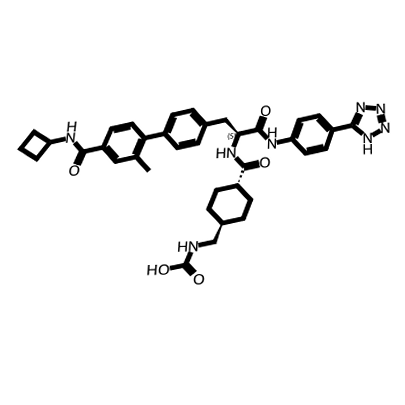 Cc1cc(C(=O)NC2CCC2)ccc1-c1ccc(C[C@H](NC(=O)[C@H]2CC[C@H](CNC(=O)O)CC2)C(=O)Nc2ccc(-c3nnn[nH]3)cc2)cc1